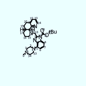 CN1CCN(c2cccc3c2nc(CN2CCC[C@@H]4CCc5cccnc5[C@H]42)n3C(=O)OC(C)(C)C)CC1